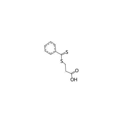 O=C(O)CCSC(=S)c1ccccc1